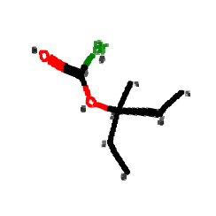 CCC(C)(CC)OC(=O)Br